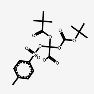 Cc1ccc(S(=O)(=O)OC(OC(=O)OC(C)(C)C)(OC(=O)C(C)(C)C)C([O])=O)cc1